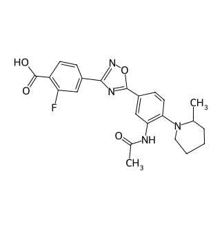 CC(=O)Nc1cc(-c2nc(-c3ccc(C(=O)O)c(F)c3)no2)ccc1N1CCCCC1C